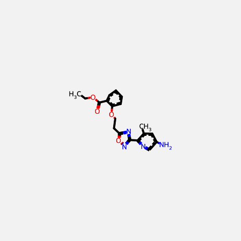 CCOC(=O)c1ccccc1OCCc1nc(-c2ncc(N)cc2C)no1